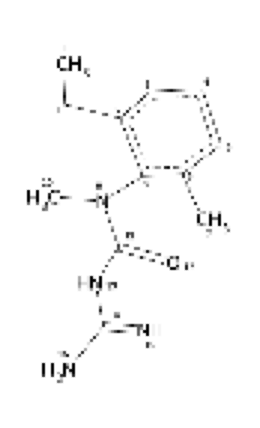 CCc1cccc(C)c1N(C)C(=O)NC(=N)N